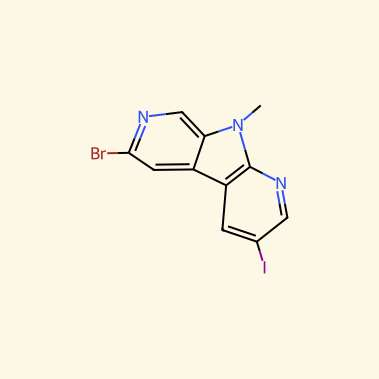 Cn1c2cnc(Br)cc2c2cc(I)cnc21